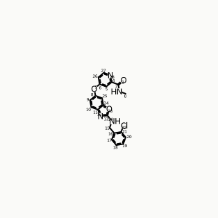 CNC(=O)c1cc(Oc2ccc3nc(NCc4ccccc4Cl)oc3c2)ccn1